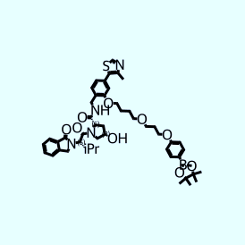 Cc1ncsc1-c1ccc(CNC(=O)[C@@H]2C[C@@H](O)CN2C(=O)[C@H](C(C)C)N2Cc3ccccc3C2=O)c(OCCCCOCCCOc2ccc(B3OC(C)(C)C(C)(C)O3)cc2)c1